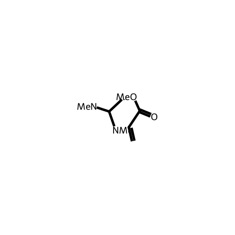 C=CC(=O)OC.[CH2]C(NC)NC